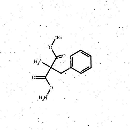 CC(C)(C)OC(=O)C(C)(Cc1ccccc1)C(=O)ON